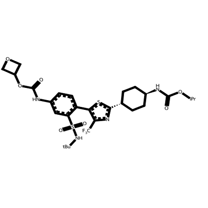 CC(C)OC(=O)N[C@H]1CC[C@H](c2nc(C(F)(F)F)c(-c3ccc(NC(=O)OC4COC4)cc3S(=O)(=O)NC(C)(C)C)s2)CC1